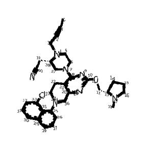 CC#CCN1CCN(c2nc(OC[C@@H]3CCCN3C)nc3c2CCN(c2cccc4cccc(Cl)c24)C3)C[C@@H]1CC#N